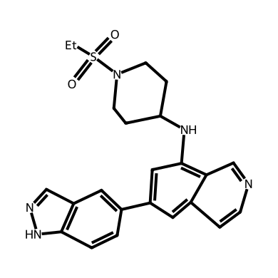 CCS(=O)(=O)N1CCC(Nc2cc(-c3ccc4[nH]ncc4c3)cc3ccncc23)CC1